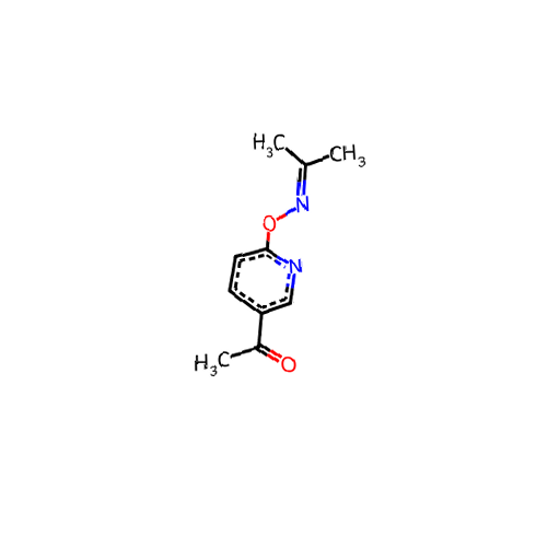 CC(=O)c1ccc(ON=C(C)C)nc1